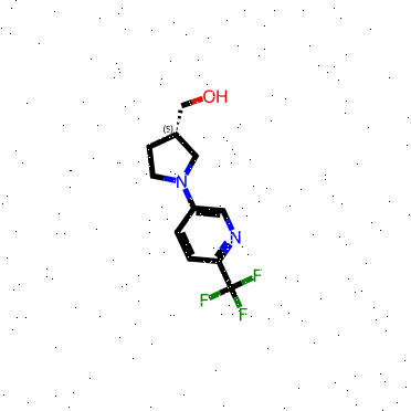 OC[C@H]1CCN(c2ccc(C(F)(F)F)nc2)C1